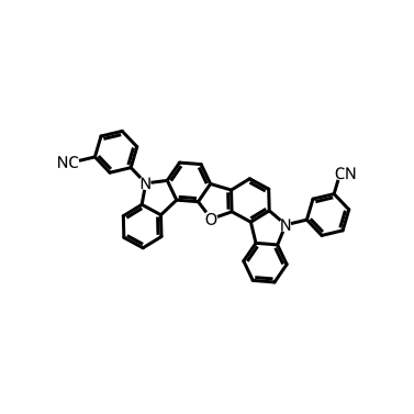 N#Cc1cccc(-n2c3ccccc3c3c4oc5c(ccc6c5c5ccccc5n6-c5cccc(C#N)c5)c4ccc32)c1